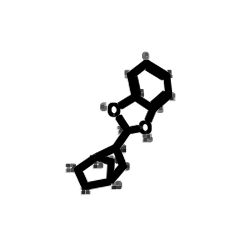 c1ccc2c(c1)OC(C1CC3CC[C]1C3)O2